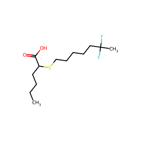 CCCCC(SCCCCCC(C)(F)F)C(=O)O